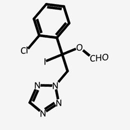 O=COC(I)(Cn1ncnn1)c1ccccc1Cl